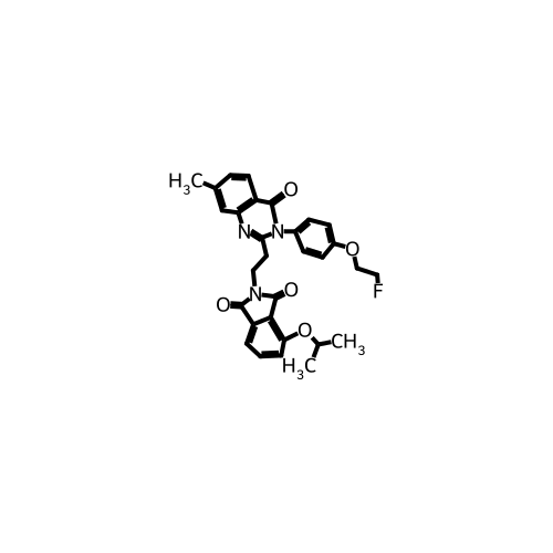 Cc1ccc2c(=O)n(-c3ccc(OCCF)cc3)c(CCN3C(=O)c4cccc(OC(C)C)c4C3=O)nc2c1